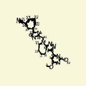 COc1cc(-c2nnc3n2CCCCN3Cc2noc(-c3cccc(C#N)c3)n2)nc(OC)n1